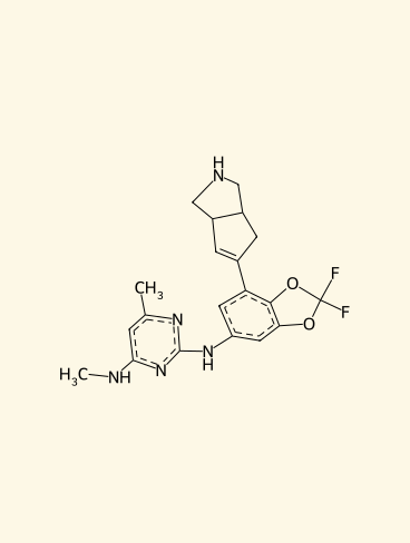 CNc1cc(C)nc(Nc2cc3c(c(C4=CC5CNCC5C4)c2)OC(F)(F)O3)n1